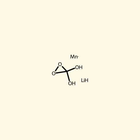 OC1(O)OO1.[LiH].[Mn]